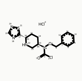 Cl.O=C(Cl)N(OCc1ccccc1)[C@@H]1CC[C@@H](c2ncns2)NC1